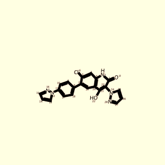 O=c1[nH]c2cc(Cl)c(-c3ccc(-n4cccn4)cc3)cc2c(O)c1-n1cccn1